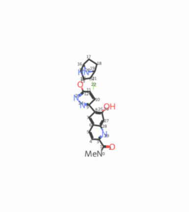 CNC(=O)c1ccc2cc(-c3ccc(O[C@@H]4CC5CCC(N5)[C@@H]4F)nn3)c(O)cc2n1